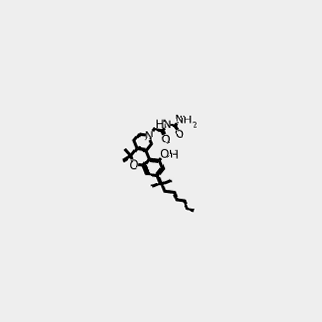 CCCCCCC(C)(C)c1cc(O)c2c(c1)OC(C)(C)C1=C2CN(CC(=O)NC(N)=O)CC1